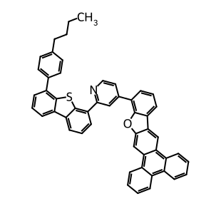 CCCCc1ccc(-c2cccc3c2sc2c(-c4cc(-c5cccc6c5oc5cc7c8ccccc8c8ccccc8c7cc56)ccn4)cccc23)cc1